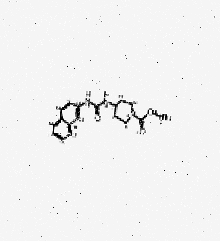 CC(C)(C)OC(=O)N1CCC(NC(=O)Nc2ccc3ccccc3c2)CC1